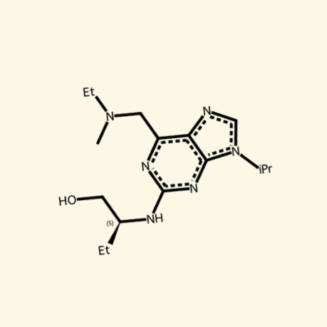 CC[C@@H](CO)Nc1nc(CN(C)CC)c2ncn(C(C)C)c2n1